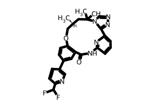 C[C@H]1COc2ccc(-c3ccc(C(F)F)nc3)cc2C(=O)Nc2cccc(n2)-c2nncn2C(C)(C)C1